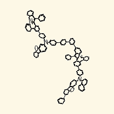 c1ccc(-c2ccc3c(c2)oc2cc(N(c4ccc(-c5ccc6c(c5)c5ccccc5n5c7ccc(-c8cccc(-c9ccc(-c%10ccc(N(c%11ccc(-c%12ccc%13c(c%12)c%12ccccc%12n%12c%14ccccc%14c(-c%14ccccc%14)c%13%12)cc%11)c%11ccc%12c(c%11)oc%11ccccc%11%12)cc%10)cc9)c8)cc7c(-c7ccccc7)c65)cc4)c4cccc5ccccc45)ccc23)cc1